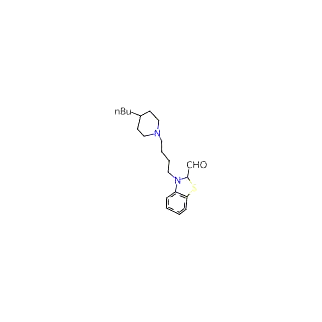 CCCCC1CCN(CCCCN2c3ccccc3SC2C=O)CC1